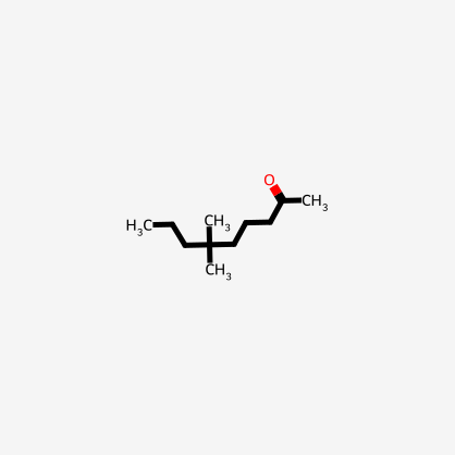 CCCC(C)(C)CCCC(C)=O